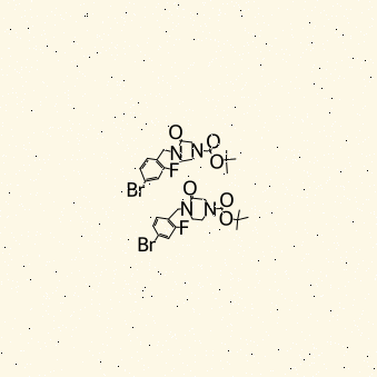 CC(C)(C)OC(=O)N1CCN(Cc2ccc(Br)cc2F)C(=O)C1.CC(C)(C)OC(=O)N1CCN(Cc2ccc(Br)cc2F)C(=O)C1